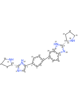 c1cc(-c2cnc([C@@H]3CCCN3)[nH]2)ccc1-c1ccc2nc([C@@H]3CCCN3)[nH]c2c1